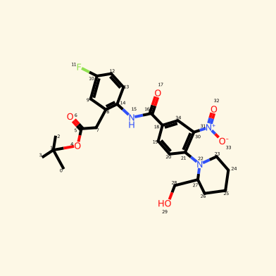 CC(C)(C)OC(=O)Cc1cc(F)ccc1NC(=O)c1ccc(N2CCCCC2CO)c([N+](=O)[O-])c1